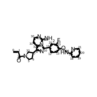 C=CC(=O)N1CCC(c2nc(-c3ccc(ONc4ccccn4)c(F)c3)n3c(N)nccc23)C1